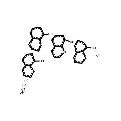 Oc1cccc2cccnc12.Oc1cccc2cccnc12.Oc1cccc2cccnc12.Oc1cccc2cccnc12.[Al+3].[Al+3].[O-2].[O-2].[O-2]